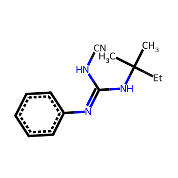 CCC(C)(C)N/C(=N/c1ccccc1)NC#N